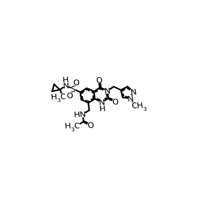 CC(=O)NCc1cc(S(=O)(=O)NC2(C)CC2)cc2c(=O)n(Cc3cnn(C)c3)c(=O)[nH]c12